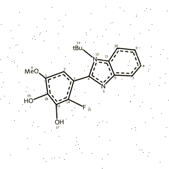 COc1cc(-c2nc3ccccc3n2C(C)(C)C)c(F)c(O)c1O